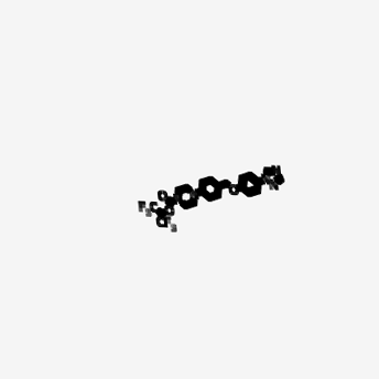 O=C(OC(C(F)(F)F)C(F)(F)F)N1CCN(C2CCC(COc3ccc(-n4cncn4)cc3)CC2)CC1